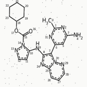 Cc1nc(N)cc(-c2c(Nc3ccnn3C(=O)OC3CCCCC3)nc3cccnn23)n1